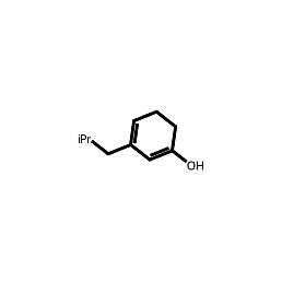 CC(C)CC1=CCCC(O)=C1